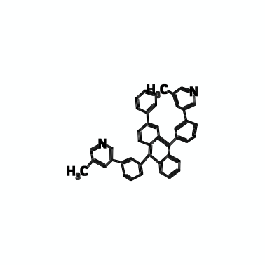 Cc1cncc(-c2cccc(-c3c4ccccc4c(-c4cccc(-c5cncc(C)c5)c4)c4cc(-c5ccccc5)ccc34)c2)c1